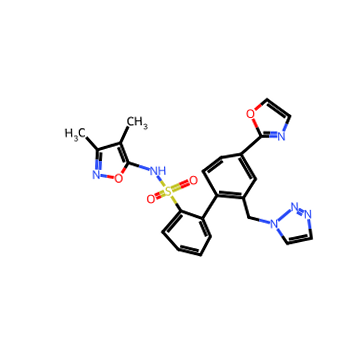 Cc1noc(NS(=O)(=O)c2ccccc2-c2ccc(-c3ncco3)cc2Cn2ccnn2)c1C